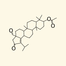 CC(=O)OC1CCC2(C)C(CCC3(C)C4CCC5(C=O)CC(=O)C(C(C)C)=C5C4CCC32)C1(C)C